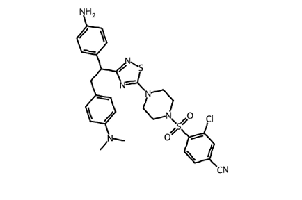 CN(C)c1ccc(CC(c2ccc(N)cc2)c2nsc(N3CCN(S(=O)(=O)c4ccc(C#N)cc4Cl)CC3)n2)cc1